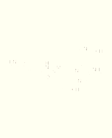 Cc1cc(-c2nc(-c3cc(S(=O)(=O)NC[C@H]4CCC[C@@H](CN)C4)ccc3C)ncc2N)ccn1